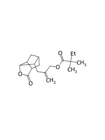 C=C(COC(=O)C(C)(C)CC)CC1C2CC3C(=O)OC1C3C2